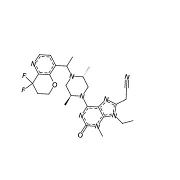 CCn1c(CC#N)nc2c(N3C[C@@H](C)N(C(C)c4ccnc5c4OCCC5(F)F)C[C@@H]3C)nc(=O)n(C)c21